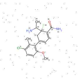 COc1ccc(Cl)c(C)c1C1=CC=C(C(N)=O)C(F)(C(C)N)C1